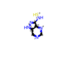 SNc1n[nH]c2cncnc12